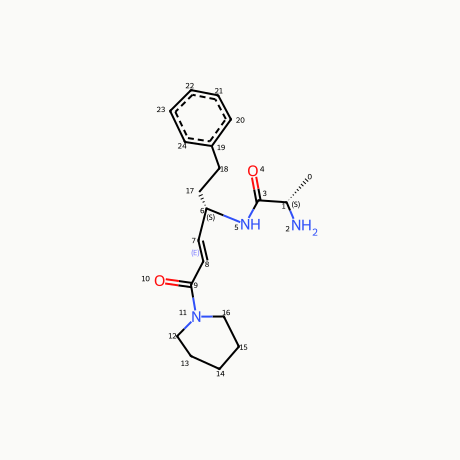 C[C@H](N)C(=O)N[C@H](/C=C/C(=O)N1CCCCC1)CCc1ccccc1